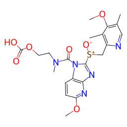 COc1ccc2c(n1)nc([S+]([O-])Cc1ncc(C)c(OC)c1C)n2C(=O)N(C)CCOC(=O)O